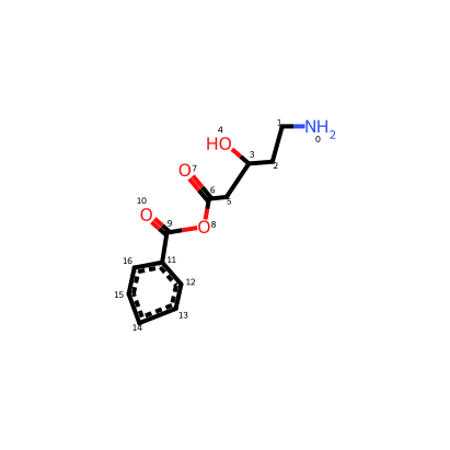 NCCC(O)CC(=O)OC(=O)c1ccccc1